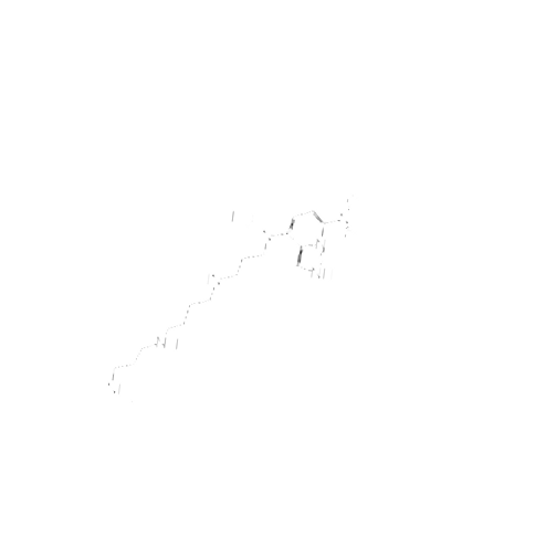 CN(CCCNCCCCNCCCN)C1=CC=C([N+](=O)[O-])N2ONC=C12